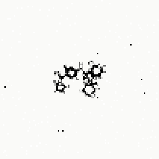 Cc1cc(Nc2nn(C3(C)CCCOC3)c3cc[nH]c(=O)c23)ccc1C(=O)N1CCCC1